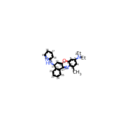 CCN(CC)c1cc(C)c2c(c1)OC1=CC(Nc3ccccn3)c3ccccc3C1=N2